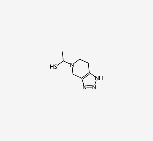 CC(S)N1CCc2[nH]nnc2C1